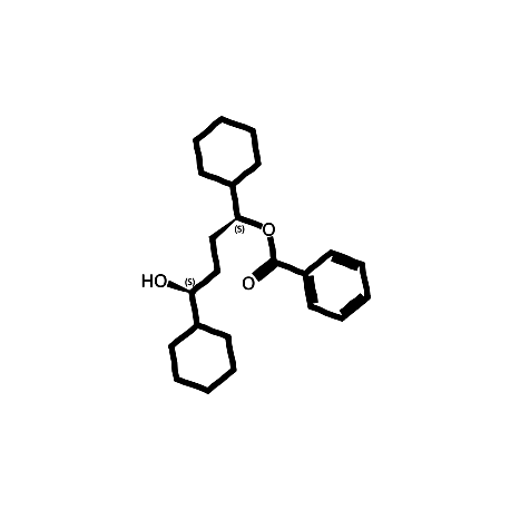 O=C(O[C@@H](CC[C@H](O)C1CCCCC1)C1CCCCC1)c1ccccc1